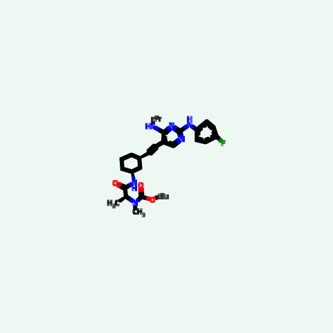 CCCNc1nc(Nc2ccc(F)cc2)ncc1C#C[C@@H]1CCC[C@H](NC(=O)[C@H](C)N(C)C(=O)OC(C)(C)C)C1